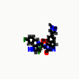 Cn1cc(-c2ccc3c(c2)CCC32NC(=O)N(CC(=O)N(Cc3ccc(F)cc3)C3CNCC3(F)F)C2=O)cn1